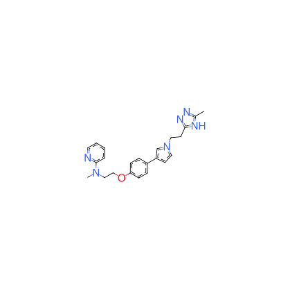 Cc1nnc(CCn2ccc(-c3ccc(OCCN(C)c4ccccn4)cc3)c2)[nH]1